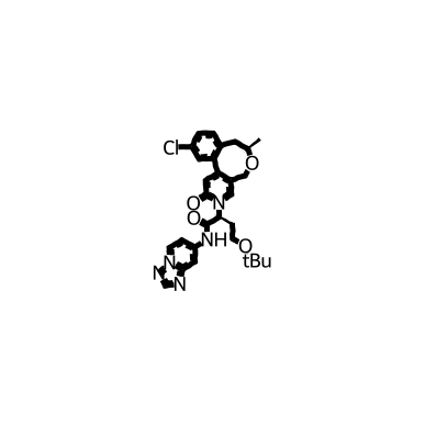 C[C@@H]1Cc2ccc(Cl)cc2-c2cc(=O)n([C@@H](CCOC(C)(C)C)C(=O)Nc3ccn4ncnc4c3)cc2CO1